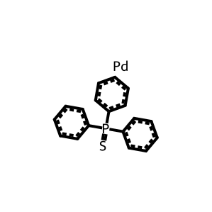 S=P(c1ccccc1)(c1ccccc1)c1ccccc1.[Pd]